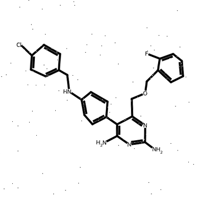 Nc1nc(N)c(-c2ccc(NCc3ccc(Cl)cc3)cc2)c(COCc2ccccc2F)n1